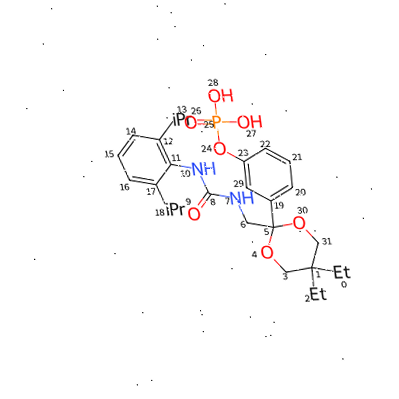 CCC1(CC)COC(CNC(=O)Nc2c(C(C)C)cccc2C(C)C)(c2cccc(OP(=O)(O)O)c2)OC1